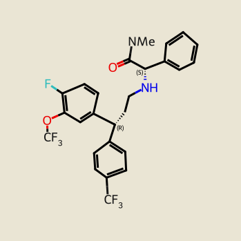 CNC(=O)[C@@H](NCC[C@H](c1ccc(C(F)(F)F)cc1)c1ccc(F)c(OC(F)(F)F)c1)c1ccccc1